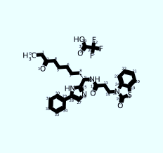 CCC(=O)CCCCC[C@H](NC(=O)CCn1c(=O)sc2ccccc21)c1ncc(-c2ccccc2)[nH]1.O=C(O)C(F)(F)F